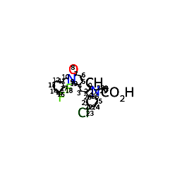 Cc1c(Cc2ccc(=O)n(Cc3cccc(F)c3F)c2)c2cc(Cl)ccc2n1CC(=O)O